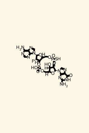 Nc1nc2c(ncn2[C@@H]2O[C@@H]3COP(=O)(O)O[C@@H]4[C@H](F)[C@H](n5cnc6c(N)ncnc65)O[C@@H]4COP(=O)(S)O[C@H]2[C@H]3O)c(=O)[nH]1